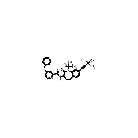 BC(B)(B)N1C(=O)C(NC(=O)c2cc(Oc3ccccc3)ccn2)CCc2ccc(C#CC(C)(C)O)cc21